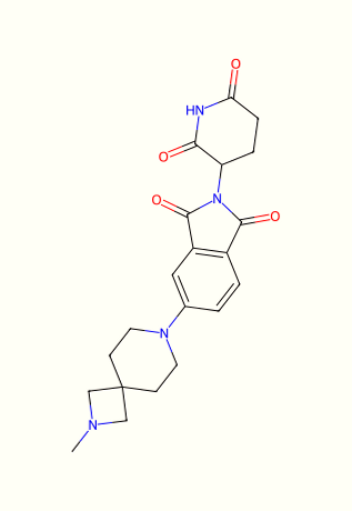 CN1CC2(CCN(c3ccc4c(c3)C(=O)N(C3CCC(=O)NC3=O)C4=O)CC2)C1